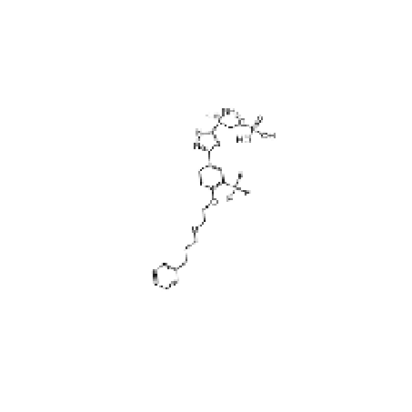 C[C@](N)(COP(=O)(O)O)c1nnc(-c2ccc(OCCOCCCc3ccccc3)c(C(F)(F)F)c2)s1